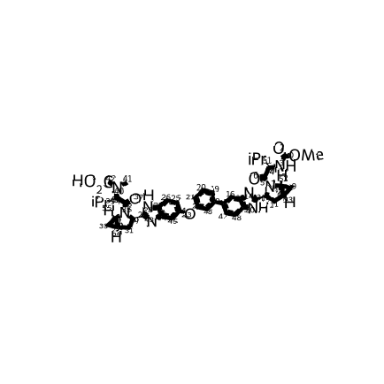 COC(=O)N[C@H](C(=O)N1[C@@H]2C[C@@H]2C[C@H]1c1nc2cc(-c3cccc(Oc4ccc5[nH]c([C@@H]6C[C@H]7C[C@H]7N6C(=O)[C@H](C(C)C)N(C)C(=O)O)nc5c4)c3)ccc2[nH]1)C(C)C